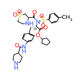 Cc1ccc(S(=O)(=O)N(C(=O)C2CS(=O)(=O)CCN2)[C@@H](Cc2ccc(NC(=O)C3CCNCC3)cc2)C(=O)OC2CCCC2)cc1